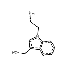 OCCn1cc(CO)c2[c]cccc21